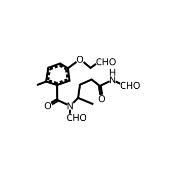 Cc1ccc(OCC=O)cc1C(=O)N(C=O)C(C)CCC(=O)NC=O